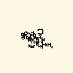 Nc1ncnc2c1nc(N1CCCCC1)n2[C@@H]1O[C@@H]2COP(=O)([O-])O[C@H]2[C@H]1O.[Na+]